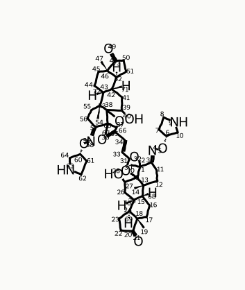 CC1(C)/C(=N/O[C@@H]2CCNC2)CC[C@]2(C)[C@@H]3CC[C@]4(C)C(=O)CC[C@H]4[C@@H]3CC(O)C12OC(=O)/C=C/C(=O)OC12C(O)C[C@@H]3[C@@H](CC[C@]4(C)C(=O)CC[C@@H]34)[C@@]1(C)CC/C(=N\O[C@@H]1CCNC1)C2(C)C